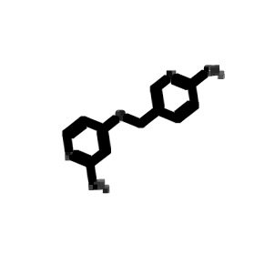 Cc1ccc(COc2ccnc(N)c2)cn1